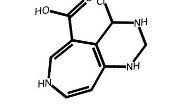 O=C(O)C1=CNC=CC2=C1C(Cl)NCN2